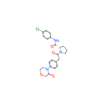 O=C(Nc1ccc(Cl)cc1)[C@@H]1CCCN1C(=O)Cc1ccc(N2CCOCC2=O)cc1